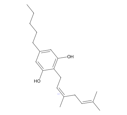 CCCCCc1cc(O)c(C/C=C(/C)CC=C(C)C)c(O)c1